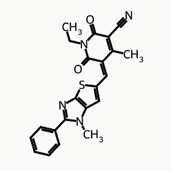 CCN1C(=O)C(C#N)=C(C)/C(=C/c2cc3c(nc(-c4ccccc4)n3C)s2)C1=O